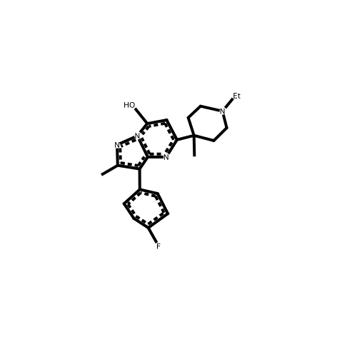 CCN1CCC(C)(c2cc(O)n3nc(C)c(-c4ccc(F)cc4)c3n2)CC1